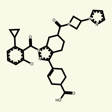 O=C(O)C1CC=C(c2nn(C(=O)c3c(Cl)cccc3C3CC3)c3c2CCC(C(=O)N2CC(n4cccn4)C2)C3)CC1